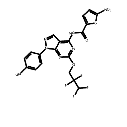 CC(C)(C)c1ccc(-n2ncc3c(NC(=O)c4ccc([N+](=O)[O-])s4)nc(OCC(F)(F)C(F)F)nc32)cc1